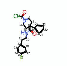 O=C(Cl)N1CCC(C(=O)NCCc2ccc(F)cc2)(c2ccccc2)CC1